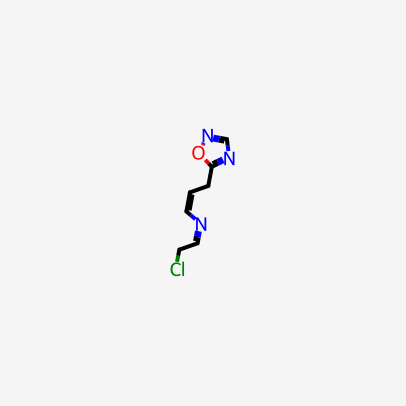 ClC/C=N\C=C/Cc1ncno1